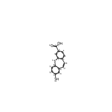 O=C(O)c1ccc2c(c1)Sc1ccc(S)cc1C=C2